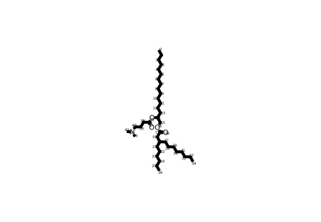 CCCCCCCCCCCCCCC(COC(=O)CC(CCCCCC)CCCCCCCC)OC(=O)CCCN(C)C